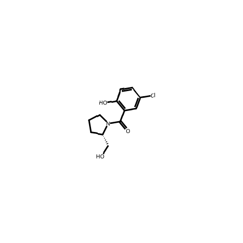 O=C(c1cc(Cl)ccc1O)N1CCC[C@H]1CO